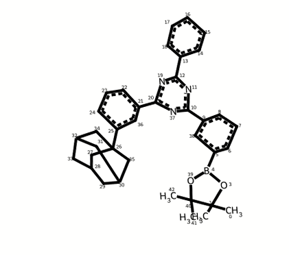 CC1(C)OB(c2cccc(-c3nc(-c4ccccc4)nc(-c4cccc(C56CC7CC(CC(C7)C5)C6)c4)n3)c2)OC1(C)C